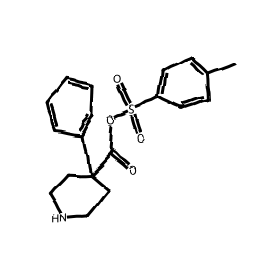 Cc1ccc(S(=O)(=O)OC(=O)C2(c3ccccc3)CCNCC2)cc1